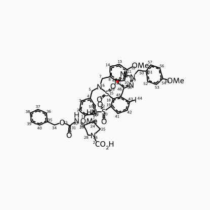 COc1ccc(CN(Cc2ccc(OC)cc2)S(=O)(=O)c2c(S(=O)(=O)N[C@@H]3CN(C(=O)O)C[C@@H]3NC(=O)OCc3ccccc3)ccc(I)c2-c2nnn(Cc3ccc(OC)cc3)n2)cc1